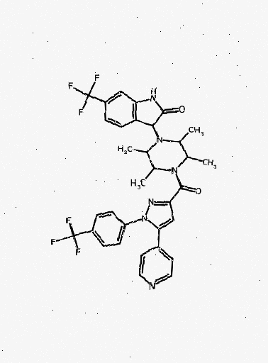 CC1C(C)N(C2C(=O)Nc3cc(C(F)(F)F)ccc32)C(C)C(C)N1C(=O)c1cc(-c2ccncc2)n(-c2ccc(C(F)(F)F)cc2)n1